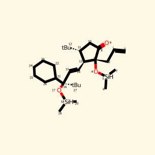 C=CC[C@]1(O[SiH](C)C)C(=O)C[C@@H](C(C)(C)C)[C@@H]1C=C[C@@](O[SiH](C)C)(C1CCCCC1)C(C)(C)C